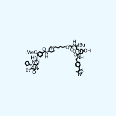 CC[C@@H]1C(=O)N(C)c2cnc(Nc3ccc(C(=O)NC4CCN(CCCCCOCC(=O)N[C@H](C(=O)N5C[C@H](O)C[C@H]5C(=O)NCc5ccc(-c6scnc6C)cc5)C(C)(C)C)CC4)cc3OC)nc2N1C1CCCC1